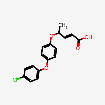 CC(C=CC(=O)O)Oc1ccc(Oc2ccc(Cl)cc2)cc1